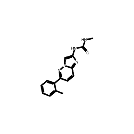 CNC(=O)Nc1cn2nc(-c3ccccc3C)ccc2n1